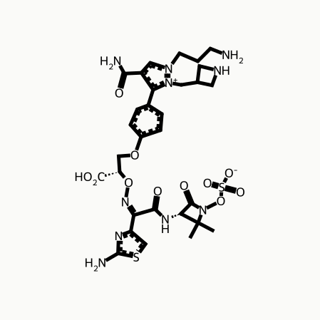 CC1(C)[C@H](NC(=O)/C(=N\O[C@@H](COc2ccc(-c3c(C(N)=O)cn(CCCN)[n+]3CC3CNC3)cc2)C(=O)O)c2csc(N)n2)C(=O)N1OS(=O)(=O)[O-]